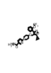 NNC(=O)c1ccc(N2CCC(OCc3c(-c4ccccc4OC(F)(F)F)noc3C3CC3)CC2)nc1